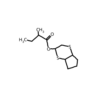 CCC(C)C(=O)OC1CSC2CCCC2S1